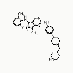 Cc1cccc(C)c1Nc1nn(C)c2nc(Nc3ccc(C4CCN(CC5CCNCC5)CC4)cc3)ncc12